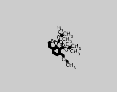 CCOCc1ccc(/C=C\Br)c(OC(=O)OC(C)(C)C)c1C(=O)OC(C)(C)C